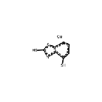 Sc1nc2c(S)cccc2s1.[Cu]